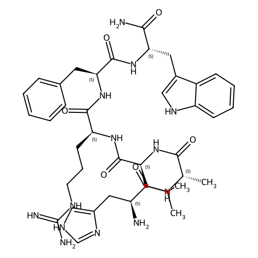 CC(C)C[C@H](NC(=O)[C@H](C)NC(=O)[C@@H](N)Cc1c[nH]cn1)C(=O)N[C@@H](CCCNC(=N)N)C(=O)N[C@@H](Cc1ccccc1)C(=O)N[C@@H](Cc1c[nH]c2ccccc12)C(N)=O